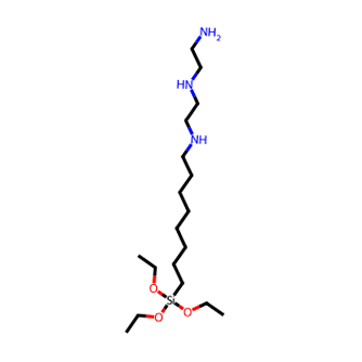 CCO[Si](CCCCCCCCNCCNCCN)(OCC)OCC